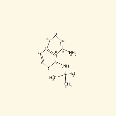 CCC(C)(C)NC1CC=CC2=C1C(N)=CCC2